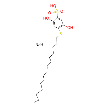 CCCCCCCCCCCCCCCSc1cc(O)c(S(=O)(=O)O)cc1O.[NaH]